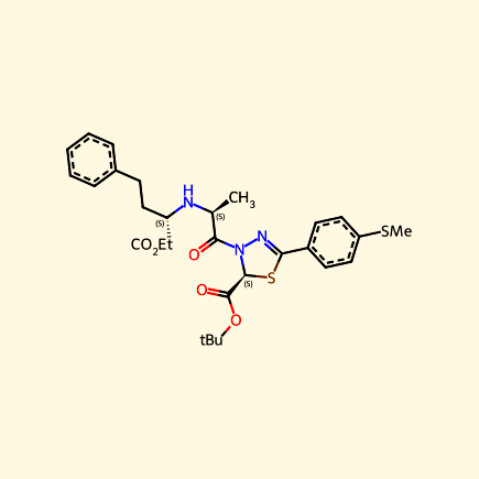 CCOC(=O)[C@H](CCc1ccccc1)N[C@@H](C)C(=O)N1N=C(c2ccc(SC)cc2)S[C@H]1C(=O)OC(C)(C)C